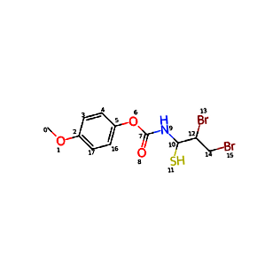 COc1ccc(OC(=O)NC(S)C(Br)CBr)cc1